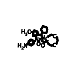 Cc1ccc2c(c1)N(c1ccc(N)cc1)C(=O)N(C(=O)C1CCCCCCCCCC1)N=C2C1CCCCC1